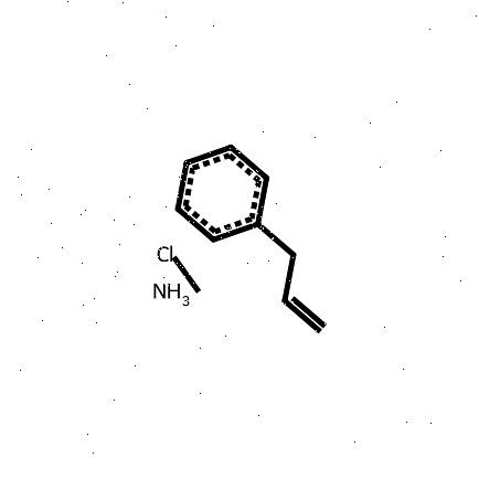 C=CCc1ccccc1.CCl.N